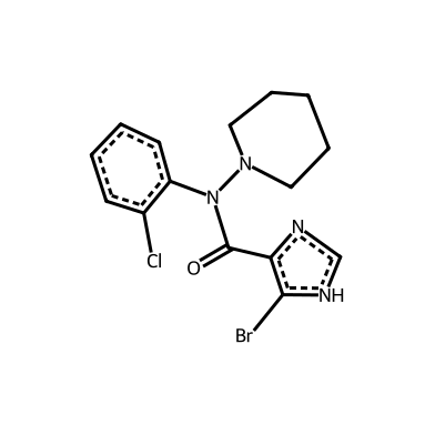 O=C(c1nc[nH]c1Br)N(c1ccccc1Cl)N1CCCCC1